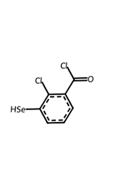 O=C(Cl)c1cccc([SeH])c1Cl